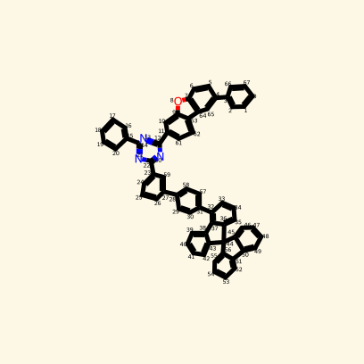 c1ccc(-c2ccc3oc4cc(-c5nc(-c6ccccc6)nc(-c6cccc(-c7ccc(-c8cccc9c8-c8ccccc8C98c9ccccc9-c9ccccc98)cc7)c6)n5)ccc4c3c2)cc1